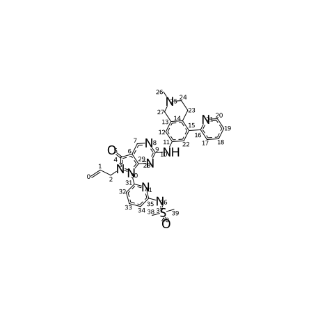 C=CCn1c(=O)c2cnc(Nc3cc4c(c(-c5ccccn5)c3)CCN(C)C4)nc2n1-c1cccc(N=S(C)(C)=O)n1